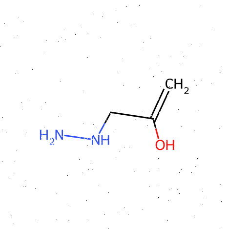 C=C(O)CNN